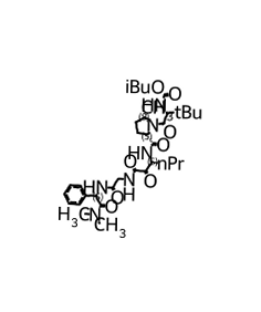 CCC[C@H](NC(=O)[C@@H]1CC[C@H](C)N1C(=O)C(NC(=O)OCC(C)C)C(C)(C)C)C(=O)C(=O)NCC(=O)N[C@H](C(=O)N(C)C)c1ccccc1